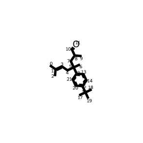 CC(C)=CCC(C)(CC(C)C=O)c1ccc(C(C)(C)C)cc1